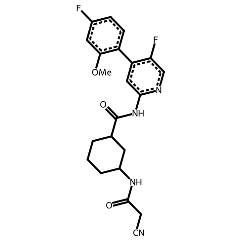 COc1cc(F)ccc1-c1cc(NC(=O)C2CCCC(NC(=O)CC#N)C2)ncc1F